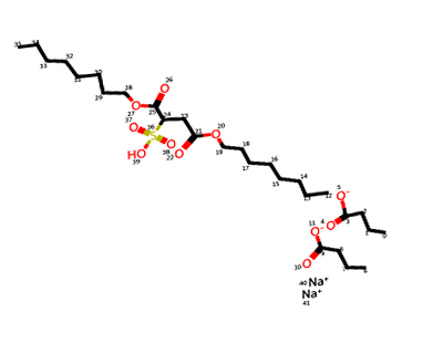 CCCC(=O)[O-].CCCC(=O)[O-].CCCCCCCCOC(=O)CC(C(=O)OCCCCCCCC)S(=O)(=O)O.[Na+].[Na+]